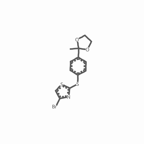 CC1(c2ccc(Sc3nc(Br)cs3)cc2)OCCO1